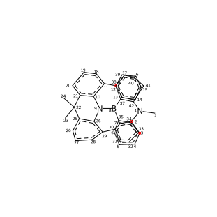 CN1c2ccccc2B(N2c3c(-c4ccccc4)cccc3C(C)(C)c3cccc(-c4ccccc4)c32)c2ccccc21